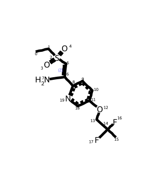 CCS(=O)(=O)/C=C(\N)c1ccc(OCC(C)(F)F)cn1